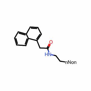 CCCCCCCCCCCNC(=O)Cc1cccc2ccccc12